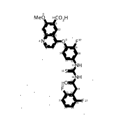 COc1cc2nccc(Oc3ccc(NC(=S)NC(=O)Cc4c(F)cccc4F)cc3F)c2cc1C(=O)O